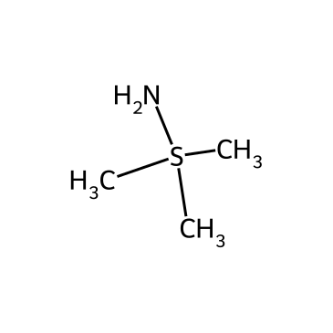 CS(C)(C)N